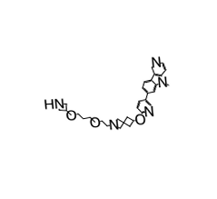 Cn1c2ccncc2c2ccc(-c3ccc(OC4CC5(C4)CN(CCOCCCOC4CNC4)C5)nc3)cc21